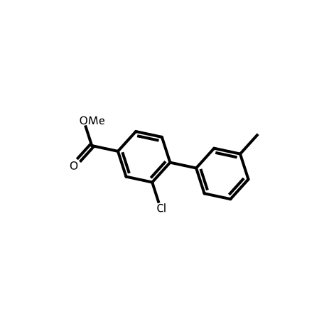 COC(=O)c1ccc(-c2cccc(C)c2)c(Cl)c1